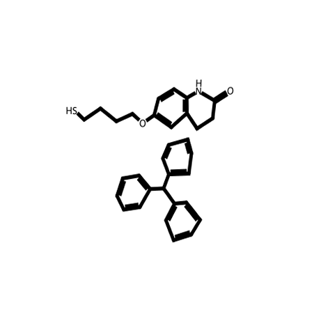 O=C1CCc2cc(OCCCCS)ccc2N1.c1ccc(C(c2ccccc2)c2ccccc2)cc1